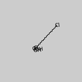 O=P(O)(O)OCCCCCCCCCCCCCCCCCCCCCCCCCCCCl